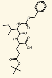 CCC(C)C(NC(=O)OCc1ccccc1)C(=O)NC(CCC(=O)OC(C)(C)C)C(=O)O